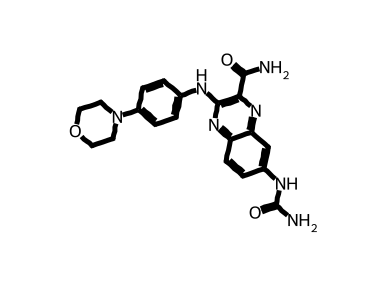 NC(=O)Nc1ccc2nc(Nc3ccc(N4CCOCC4)cc3)c(C(N)=O)nc2c1